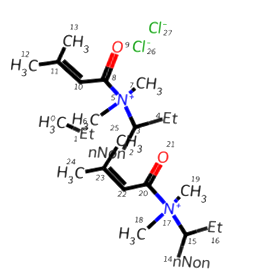 CCC.CCCCCCCCCC(CC)[N+](C)(C)C(=O)C=C(C)C.CCCCCCCCCC(CC)[N+](C)(C)C(=O)C=C(C)C.[Cl-].[Cl-]